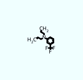 C=CCN(CC=C)c1cccc(C(F)(F)F)c1